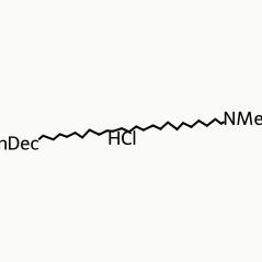 CCCCCCCCCCCCCCCCCCCCCCCCCCCCCCCCCCNC.Cl